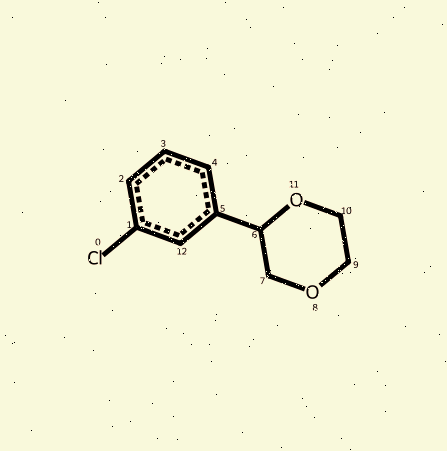 Clc1cccc(C2COCCO2)c1